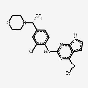 CCOc1nc(Nc2ccc([C@H](N3CCOCC3)C(F)(F)F)cc2Cl)nc2[nH]ccc12